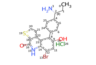 CC[C@@H](N)c1ccc(-c2c(O)cc(Br)c3[nH]c(=O)c4sccc4c23)cc1.Cl